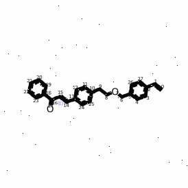 C=Cc1ccc(COCCc2ccc(/C=C/C(=O)c3ccccc3)cc2)cc1